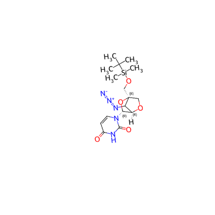 CC(C)(C)[Si](C)(C)OC[C@]12CO[C@H](C1N=[N+]=[N-])[C@H](n1ccc(=O)[nH]c1=O)O2